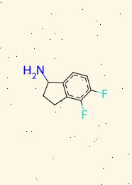 NC1CCc2c1ccc(F)c2F